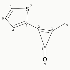 Cc1c(-c2cccs2)c1=O